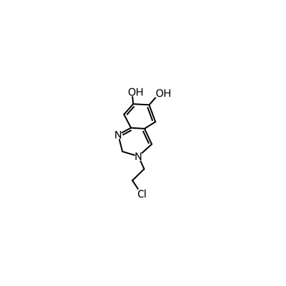 Oc1cc2c(cc1O)=NCN(CCCl)C=2